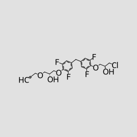 C#CCOC[C@@H](O)COc1c(F)cc(Cc2cc(F)c(OC[C@H](O)CCl)c(F)c2)cc1F